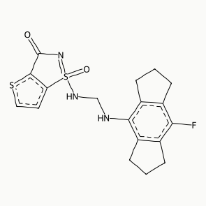 O=C1N=S(=O)(NCNc2c3c(c(F)c4c2CCC4)CCC3)c2ccsc21